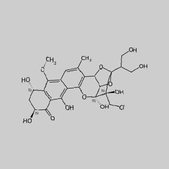 COc1c2c(c(O)c3c4c(c(C)cc13)C1OC3(C(CO)CO)OC1[C@](O)(O4)[C@@]3(O)CCl)C(=O)[C@@H](O)C[C@@H]2O